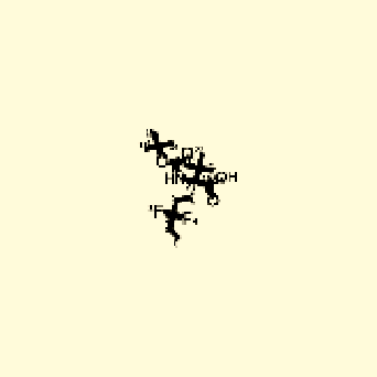 CCC(F)(F)CC[C@@](NC(=O)OC(C)(C)C)(C(=O)O)C(C)(C)C